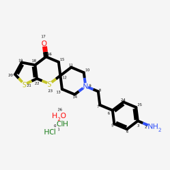 Cl.Cl.Nc1ccc(CCN2CCC3(CC2)CC(=O)c2ccsc2S3)cc1.O